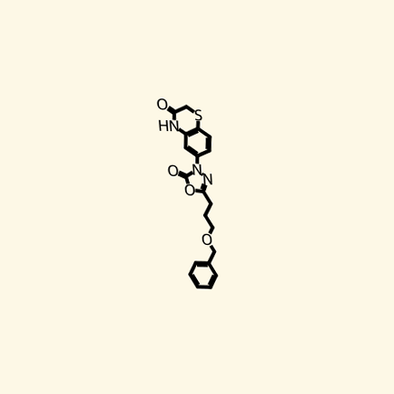 O=C1CSc2ccc(-n3nc(CCCOCc4ccccc4)oc3=O)cc2N1